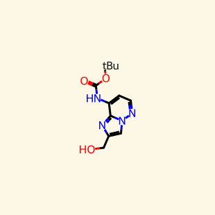 CC(C)(C)OC(=O)Nc1ccnn2cc(CO)nc12